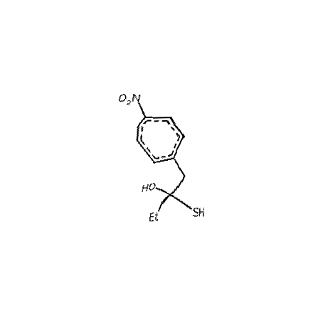 CCC(O)(S)Cc1ccc([N+](=O)[O-])cc1